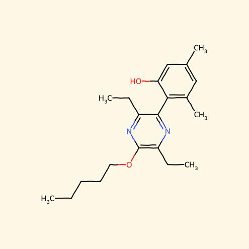 CCCCCOc1nc(CC)c(-c2c(C)cc(C)cc2O)nc1CC